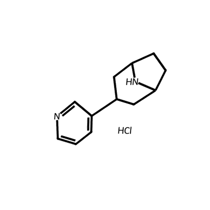 Cl.c1cncc(C2CC3CCC(C2)N3)c1